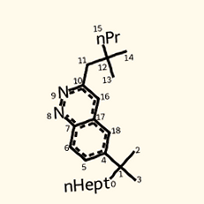 CCCCCCCC(C)(C)c1ccc2nnc(CC(C)(C)CCC)cc2c1